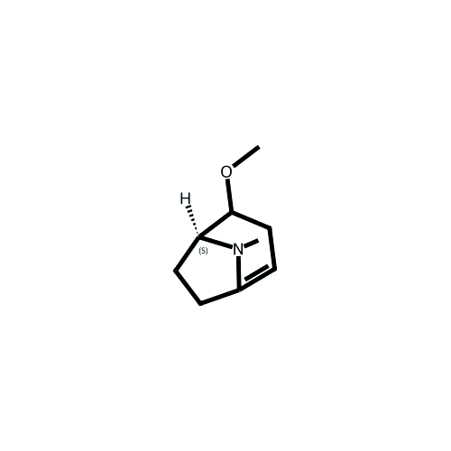 COC1CC=C2CC[C@@H]1N2C